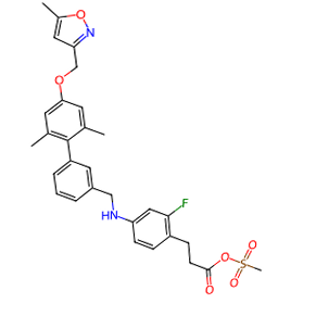 Cc1cc(COc2cc(C)c(-c3cccc(CNc4ccc(CCC(=O)OS(C)(=O)=O)c(F)c4)c3)c(C)c2)no1